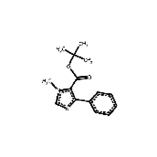 Cn1cnc(-c2ccccc2)c1C(=O)OC(C)(C)C